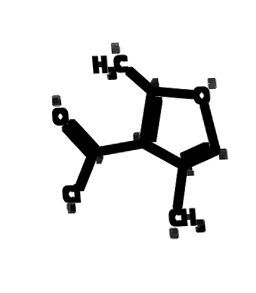 Cc1coc(C)c1C(=O)Cl